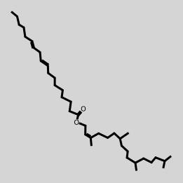 CCCCCC=CCC=CCCCCCCCC(=O)OCC=C(C)CCCC(C)CCCC(C)CCCC(C)C